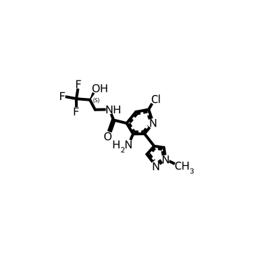 Cn1cc(-c2nc(Cl)cc(C(=O)NC[C@H](O)C(F)(F)F)c2N)cn1